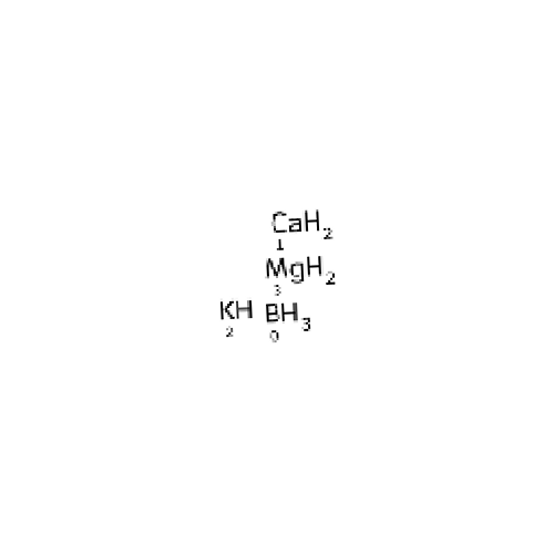 B.[CaH2].[KH].[MgH2]